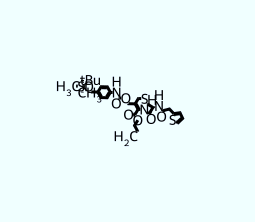 C=CCOC(=O)C1=C(COC(=O)Nc2ccc(CO[Si](C)(C)C(C)(C)C)cc2)CS[C@@H]2[C@H](NC(=O)Cc3cccs3)C(=O)N12